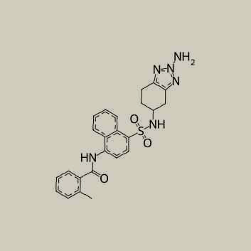 Cc1ccccc1C(=O)Nc1ccc(S(=O)(=O)NC2CCc3nn(N)nc3C2)c2ccccc12